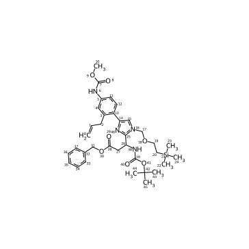 C=CCc1cc(NC(=O)OC)ccc1-c1cn(COCC[Si](C)(C)C)c(C(CC(=O)OCc2ccccc2)NC(=O)OC(C)(C)C)n1